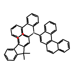 CC1(C)c2ccccc2-c2ccc(N(c3ccccc3-c3ccccc3)c3cc4ccc5ccccc5c4c4ccccc34)cc21